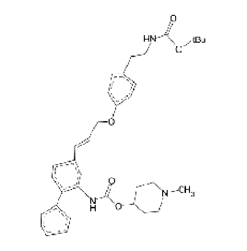 CN1CCC(OC(=O)Nc2cc(C=CCOc3ccc(CCNC(=O)OC(C)(C)C)cc3)ccc2-c2ccccc2)CC1